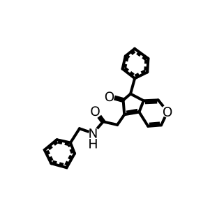 O=C(CC1=C2C=COC=C2C(c2ccccc2)C1=O)NCc1ccccc1